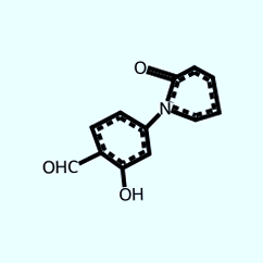 O=Cc1ccc(-n2ccccc2=O)cc1O